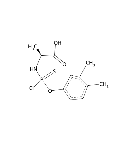 Cc1ccc(OP(=S)(Cl)N[C@@H](C)C(=O)O)cc1C